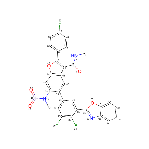 CNC(=O)c1c(-c2ccc(F)cc2)oc2cc(N(C)I(=O)=O)c(-c3cc(F)c(F)c(-c4nc5ccccc5o4)c3)cc12